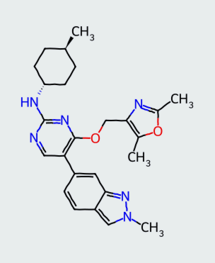 Cc1nc(COc2nc(N[C@H]3CC[C@H](C)CC3)ncc2-c2ccc3cn(C)nc3c2)c(C)o1